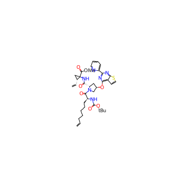 C=CCCCCC[C@H](NC(=O)OC(C)(C)C)C(=O)N1C[C@H](Oc2nc(-c3ccccn3)nc3sccc23)C[C@H]1C(=O)N[C@]1(C(=O)OC)C[C@H]1C=C